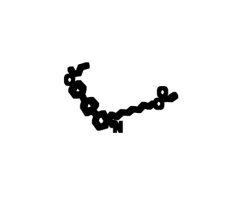 C=CC(=O)OCCCCCCCCCC1(C#N)CCCC(c2ccc(-c3ccc(OC(C)CCC)cc3)cc2)C1